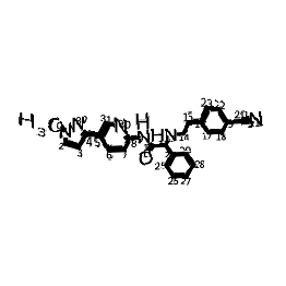 Cn1ccc(-c2ccc(NC(=O)[C@@H](NCCc3ccc(C#N)cc3)c3ccccc3)nc2)n1